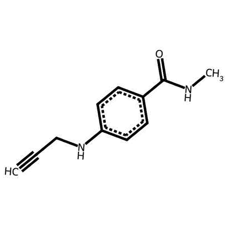 C#CCNc1ccc(C(=O)NC)cc1